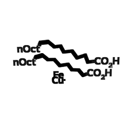 CCCCCCCC/C=C\CCCCCCCC(=O)O.CCCCCCCC/C=C\CCCCCCCC(=O)O.[Cu].[Fe]